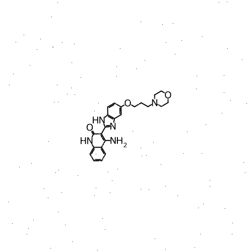 Nc1c(-c2nc3cc(OCCCN4CCOCC4)ccc3[nH]2)c(=O)[nH]c2ccccc12